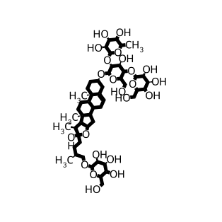 CC1OC(O[C@@H]2C(O[C@H]3CC[C@@]4(C)C(=CCC5C6CC7OC(O)(CC[C@@H](C)COC8OC(CO)C(O)[C@@H](O)[C@@H]8O)[C@@H](C)C7[C@@]6(C)CCC54)C3)OC(CO)C(OC3OC(CO)C(O)[C@@H](O)[C@@H]3O)[C@H]2O)[C@@H](O)[C@@H](O)C1O